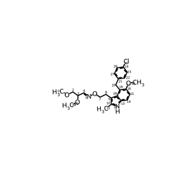 COCC(C=NOCCc1c(C)[nH]c2ccc(OC)c(Cc3ccc(Cl)cc3)c12)OC